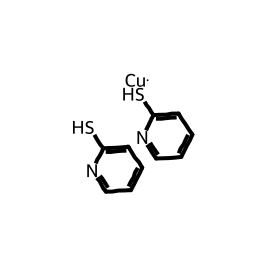 Sc1ccccn1.Sc1ccccn1.[Cu]